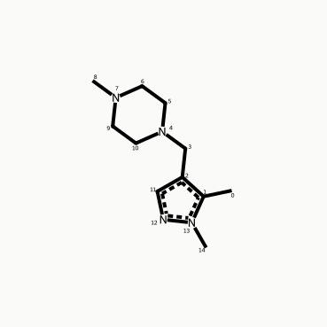 Cc1c(CN2CCN(C)CC2)cnn1C